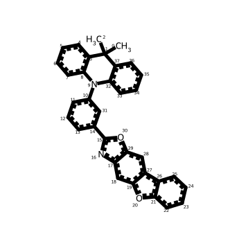 CC1(C)c2ccccc2N(c2cccc(-c3nc4cc5oc6ccccc6c5cc4o3)c2)c2ccccc21